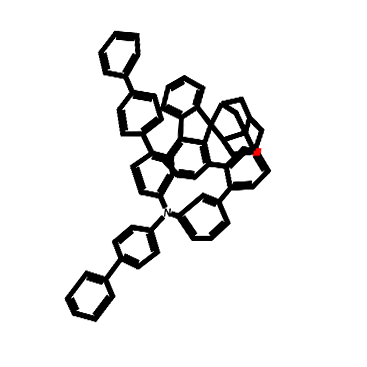 c1ccc(-c2ccc(-c3ccc(N(c4ccc(-c5ccccc5)cc4)c4cccc(-c5ccccc5-c5cccc6c5C5(c7ccccc7-6)C6CC7CC(C6)CC5C7)c4)cc3)cc2)cc1